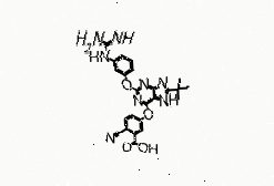 CC(C)(C)c1nc2nc(Oc3cccc(NC(=N)N)c3)nc(Oc3ccc(C#N)c(C(=O)O)c3)c2[nH]1